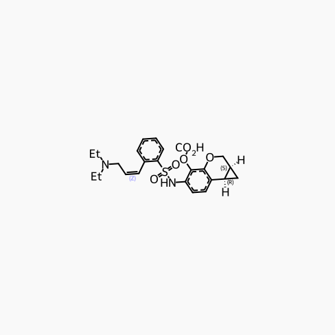 CCN(CC)C/C=C\c1ccccc1S(=O)(=O)Nc1ccc2c(c1OC(=O)O)OC[C@H]1C[C@@H]21